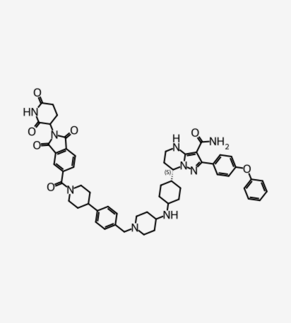 NC(=O)c1c(-c2ccc(Oc3ccccc3)cc2)nn2c1NCC[C@H]2C1CCC(NC2CCN(Cc3ccc(C4CCN(C(=O)c5ccc6c(c5)C(=O)N(C5CCC(=O)NC5=O)C6=O)CC4)cc3)CC2)CC1